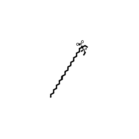 CCCCCCCCC=CCCCCCCCCCCCCC(CC)(P(=O)=O)[N+](C)(C)CC